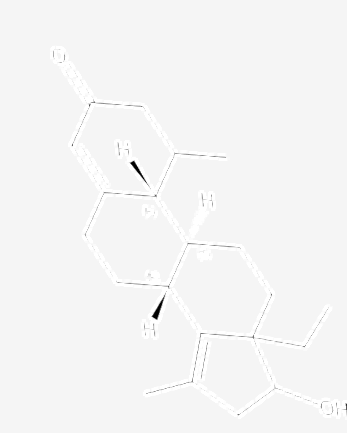 CCC12CC[C@@H]3[C@@H]4C(=CC(=O)CC4C)CC[C@H]3C1=C(C)CC2O